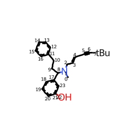 CN(C/C=C/C#CC(C)(C)C)C(CCc1ccccc1)c1cccc(O)c1